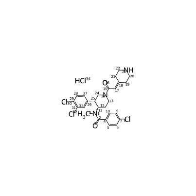 CN(C(=O)c1ccc(Cl)cc1)[C@@H]1CCN(C(=O)C=C2CCNCC2)C[C@H]1c1ccc(Cl)c(Cl)c1.Cl